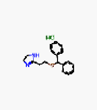 Cl.c1ccc(C(SCCC2=NCCN2)c2ccccc2)cc1